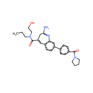 CCCN(CCO)C(=O)C1=Cc2ccc(-c3ccc(C(=O)N4CCCC4)cc3)cc2N=C(N)C1